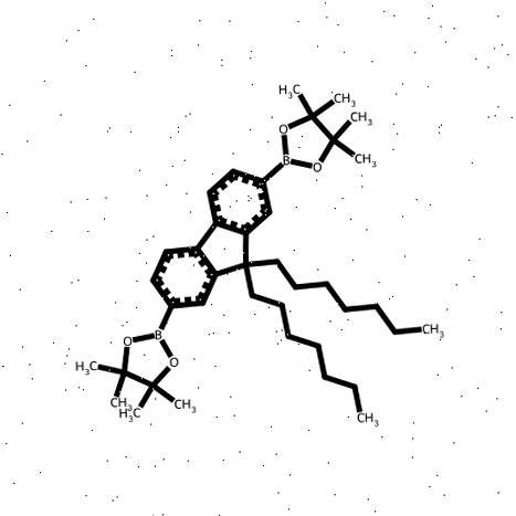 CCCCCCCC1(CCCCCCC)c2cc(B3OC(C)(C)C(C)(C)O3)ccc2-c2ccc(B3OC(C)(C)C(C)(C)O3)cc21